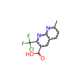 Cc1ccc2cc(C(=O)O)c(C(F)(F)Cl)nc2n1